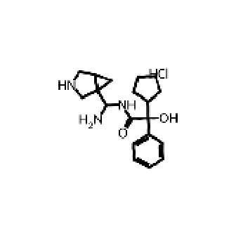 Cl.NC(NC(=O)C(O)(c1ccccc1)C1CCCC1)C12CNCC1C2